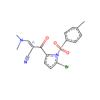 Cc1ccc(S(=O)(=O)n2c(Br)ccc2C(=O)/C(C#N)=C/N(C)C)cc1